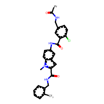 CC(C)C(=O)NCc1ccc(Cl)c(C(=O)Nc2ccc3c(c2)cc(C(=O)NCc2ccccc2C(F)(F)F)n3C)c1